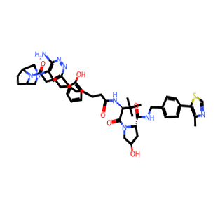 Cc1ncsc1-c1ccc(CNC(=O)[C@@H]2C[C@@H](O)CN2C(=O)[C@@H](NC(=O)CCCCCCCCC(=O)N2C3CCC2CN(c2cc(-c4ccccc4O)nnc2N)C3)C(C)(C)C)cc1